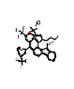 CCCCC1C=C(C(C)(C)C)C=C1c1c2c(ccc1=C(c1cccc(C(F)(F)F)c1)c1cccc(C(F)(F)F)c1)=c1ccccc1=[C]2[Zr+2].[Cl-].[Cl-]